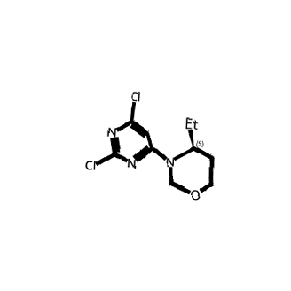 CC[C@H]1CCOCN1c1cc(Cl)nc(Cl)n1